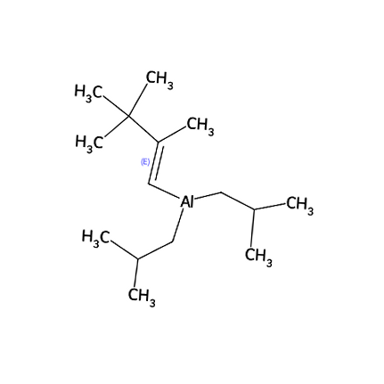 C/C(=[CH]\[Al]([CH2]C(C)C)[CH2]C(C)C)C(C)(C)C